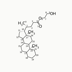 C[C@H](CCC(=O)OCCO)[C@H]1CCC2C3CCC4CCCC[C@]4(C)C3CC[C@@]21C